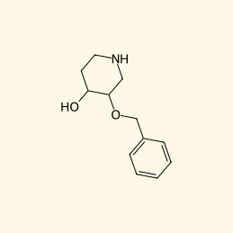 OC1CCNCC1OCc1ccccc1